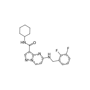 O=C(NC1CCCCC1)c1cnn2ccc(NCc3cccc(F)c3F)nc12